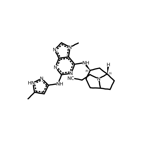 Cc1cc(Nc2nc(N[C@@H]3CCC4CC[C@@H](C3)N4CCC#N)c3c(ncn3C)n2)n[nH]1